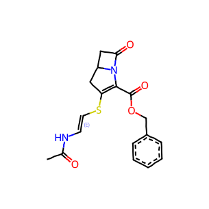 CC(=O)N/C=C/SC1=C(C(=O)OCc2ccccc2)N2C(=O)CC2C1